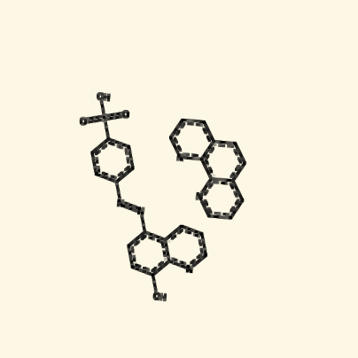 O=S(=O)(O)c1ccc(N=Nc2ccc(O)c3ncccc23)cc1.c1cnc2c(c1)ccc1cccnc12